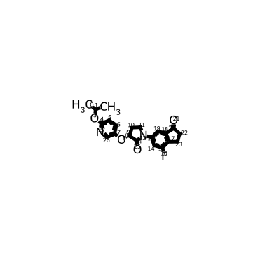 CC(C)Oc1ccc(O[C@@H]2CCN(c3cc(F)c4c(c3)C(=O)CC4)C2=O)cn1